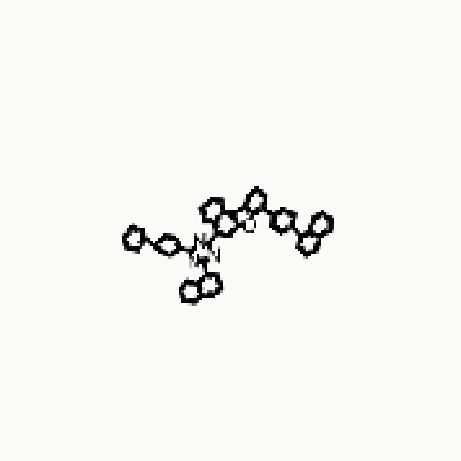 c1ccc(-c2ccc(-c3nc(-c4cccc5ccccc45)nc(-c4cc5oc6c(-c7ccc(-c8cccc9ccccc89)cc7)cccc6c5c5ccccc45)n3)cc2)cc1